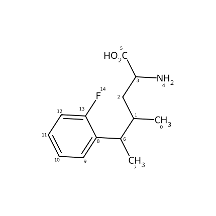 CC(CC(N)C(=O)O)C(C)c1ccccc1F